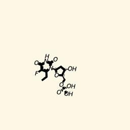 CCc1c(F)c(=O)[nH]c(=O)n1[C@H]1C[C@H](O)[C@@H](COP(=O)(O)O)O1